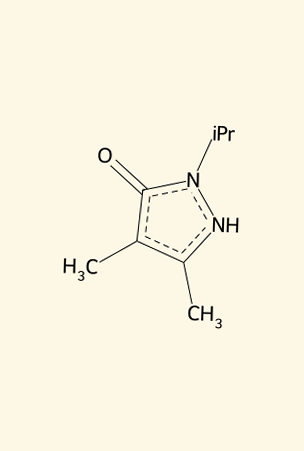 Cc1[nH]n(C(C)C)c(=O)c1C